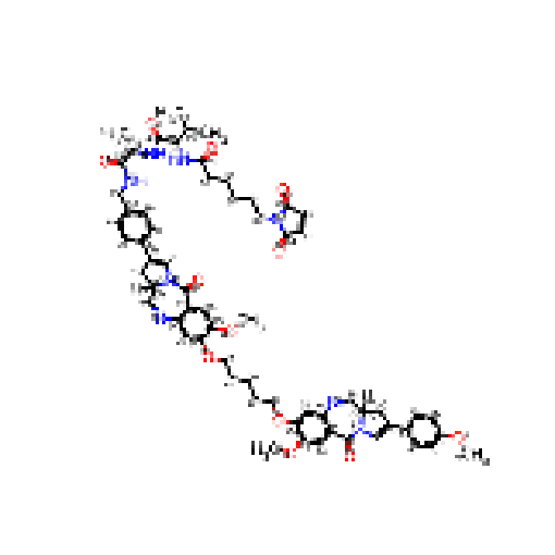 COc1ccc(C2=CN3C(=O)c4cc(OC)c(OCCCCCOc5cc6c(cc5OC)C(=O)N5C=C(c7ccc(CNC(=O)[C@H](C)NC(=O)[C@@H](NC(=O)CCCCCN8C(=O)C=CC8=O)C(C)C)cc7)C[C@H]5C=N6)cc4N=C[C@@H]3C2)cc1